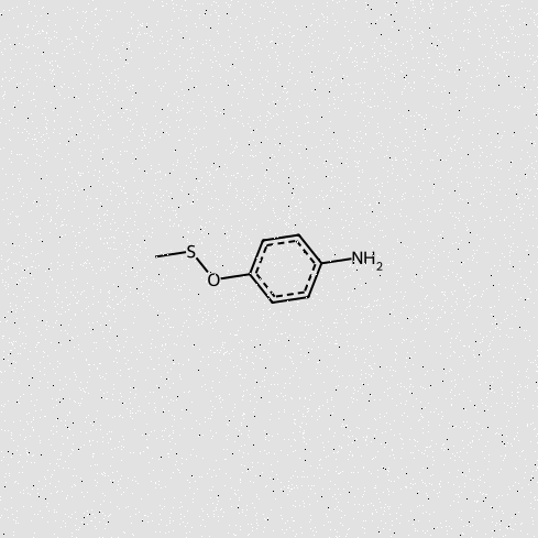 CSOc1ccc(N)cc1